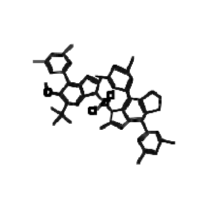 COc1c(C(C)(C)C)cc2c(c1-c1cc(C)cc(C)c1)C=C(C)[CH]2[Zr]([Cl])([Cl])[CH]1C(C)=Cc2c(-c3cc(C)cc(C)c3)c3c(c(-c4cc(C)cc(C)c4)c21)CCC3